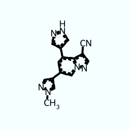 Cn1cc(-c2cc(-c3cn[nH]c3)c3c(C#N)cnn3c2)cn1